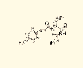 CC(C)CC1CN(C(=O)C=Cc2ccc(C(F)(F)F)cc2)C(CC(C)C)C(=O)N1